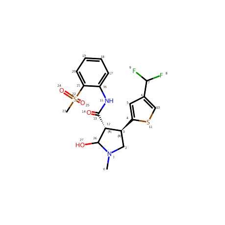 CN1C[C@H](c2cc(C(F)F)cs2)[C@@H](C(=O)Nc2ccccc2S(C)(=O)=O)C1O